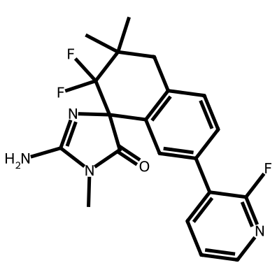 CN1C(=O)C2(N=C1N)c1cc(-c3cccnc3F)ccc1CC(C)(C)C2(F)F